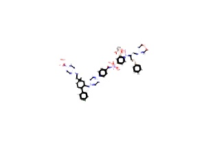 CC1(CCN2CCN(C(=O)OC(C)(C)C)CC2)CCC(c2ccc(Cl)cc2)=C(CN2CCN(c3ccc(C(=O)NS(=O)(=O)c4ccc(N[C@H](CCN5CCOCC5)CSc5ccccc5)c(S(=O)(=O)C(F)(F)F)c4)cc3)CC2)C1